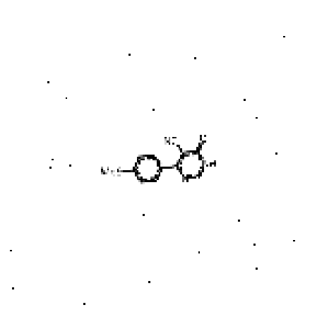 CSc1ccc(-c2nc[nH]c(=O)c2C#N)cc1